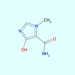 Cn1cnc(O)c1C(N)=O